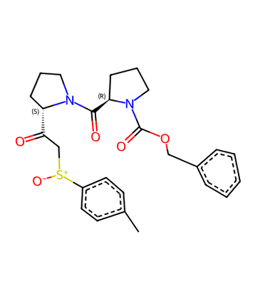 Cc1ccc([S+]([O-])CC(=O)[C@@H]2CCCN2C(=O)[C@H]2CCCN2C(=O)OCc2ccccc2)cc1